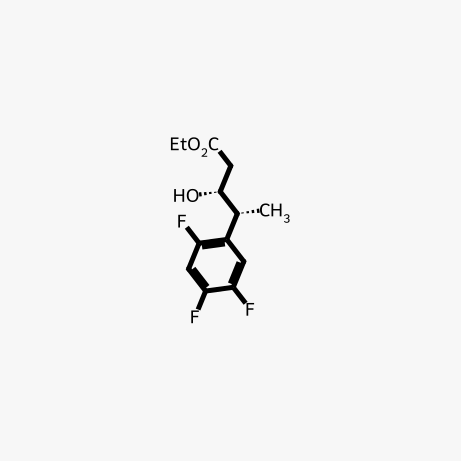 CCOC(=O)C[C@@H](O)[C@H](C)c1cc(F)c(F)cc1F